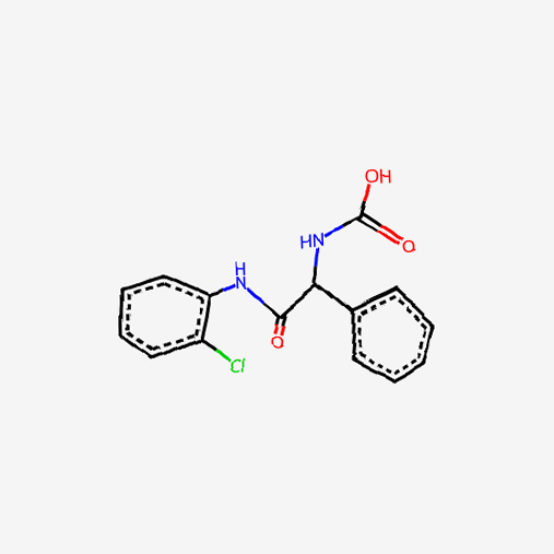 O=C(O)NC(C(=O)Nc1ccccc1Cl)c1ccccc1